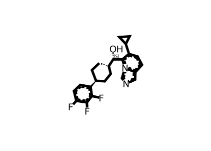 O[C@H](c1c(C2CC2)ccc2cncn12)[C@H]1CC[C@H](c2ccc(F)c(F)c2F)CC1